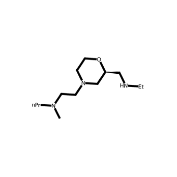 CCCN(C)CCN1CCO[C@@H](CNCC)C1